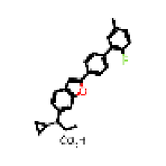 Cc1ccc(F)c(-c2ccc(-c3cc4ccc([C@H](C5CC5)[C@H](C)C(=O)O)cc4o3)cc2)c1